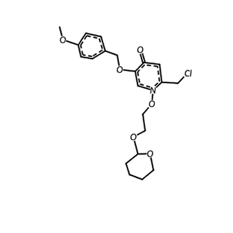 COc1ccc(COc2cn(OCCOC3CCCCO3)c(CCl)cc2=O)cc1